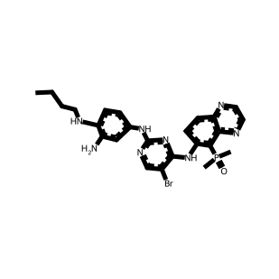 CCCCNc1ccc(Nc2ncc(Br)c(Nc3ccc4nccnc4c3P(C)(C)=O)n2)cc1N